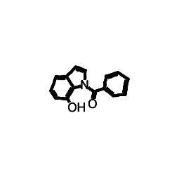 O=C(c1ccccc1)n1ccc2cccc(O)c21